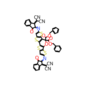 N#CC(C#N)=C1/C(=N/c2cc3sc4c(c3s2)OC(C(=O)OCc2ccccc2)(C(=O)OCc2ccccc2)c2c-4sc3cc(/N=C4\C(=O)c5ccccc5C4=C(C#N)C#N)sc23)C(=O)c2ccccc21